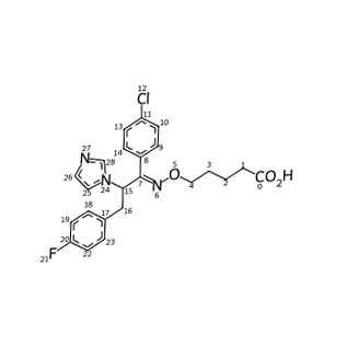 O=C(O)CCCCO/N=C(\c1ccc(Cl)cc1)C(Cc1ccc(F)cc1)n1ccnc1